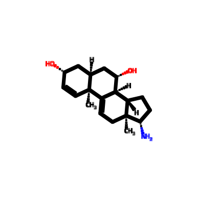 C[C@]12CC=C3[C@@H]([C@@H](O)C[C@@H]4C[C@@H](O)C=C[C@]34C)[C@@H]1CC[C@@H]2N